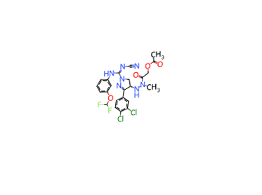 CC(=O)OCC(=O)N(C)NC1CN(/C(=N\C#N)Nc2cccc(OC(F)F)c2)N=C1c1ccc(Cl)c(Cl)c1